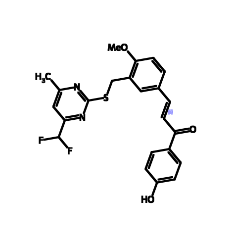 COc1ccc(/C=C/C(=O)c2ccc(O)cc2)cc1CSc1nc(C)cc(C(F)F)n1